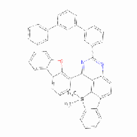 C[Si]1(C)c2ccccc2-c2ccc3nc(-c4cccc(-c5cccc(-c6ccccc6)c5)c4)nc(-c4cccc5c4oc4ccccc45)c3c21